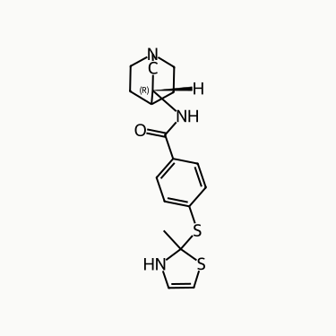 CC1(Sc2ccc(C(=O)N[C@H]3CN4CCC3CC4)cc2)NC=CS1